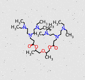 CCN(CC)CCN(CCC(=O)OCC(C)OCC(C)OC(=O)CCN(CCN(CC)CC)CCN(CC)CC)CCN(CC)CC